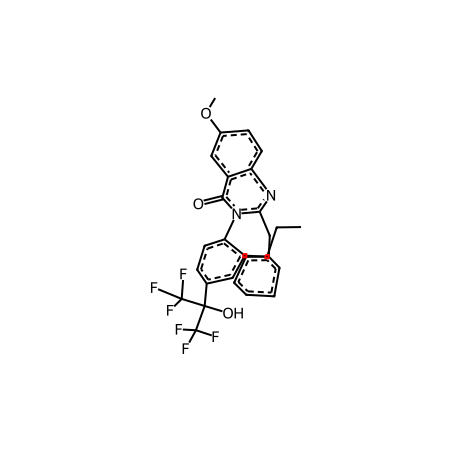 CCCc1cc(C(O)(C(F)(F)F)C(F)(F)F)ccc1-n1c(Cc2ccccc2)nc2ccc(OC)cc2c1=O